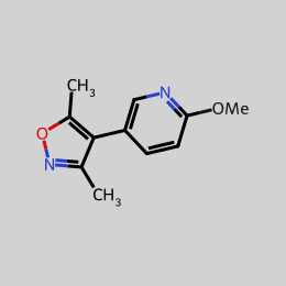 COc1ccc(-c2c(C)noc2C)cn1